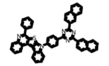 c1ccc(-c2nc3ccccc3c3c2sc2c3c3ccccc3n2-c2ccc(-c3nc(-c4ccc5ccccc5c4)nc(-c4ccc5ccccc5c4)n3)cc2)cc1